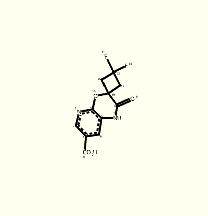 O=C(O)c1cnc2c(c1)NC(=O)C1(CC(F)(F)C1)O2